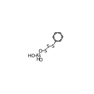 O=[AsH](O)OSSSc1ccccc1